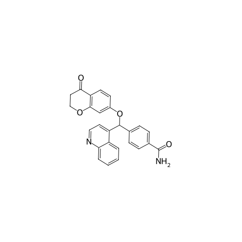 NC(=O)c1ccc(C(Oc2ccc3c(c2)OCCC3=O)c2ccnc3ccccc23)cc1